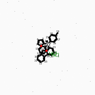 Cl.Cl.[CH2]=[Zr]([C]1=CC=CC1)([c]1ccccc1)([c]1ccc(C)cc1)[c]1cccc2c1Cc1ccccc1-2